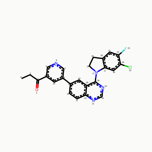 CCC(=O)c1cncc(-c2ccc3ncnc(N4CCc5cc(F)c(Cl)cc54)c3c2)c1